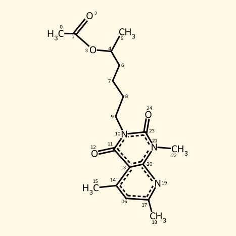 CC(=O)OC(C)CCCCn1c(=O)c2c(C)cc(C)nc2n(C)c1=O